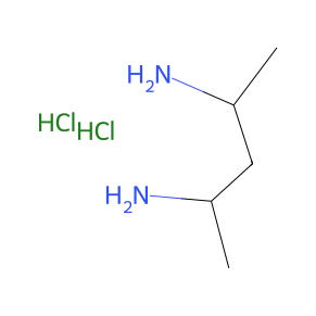 CC(N)CC(C)N.Cl.Cl